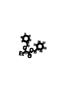 CCC(OCc1ccccc1)C(=O)OCc1ccccc1